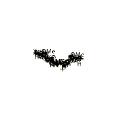 COC1C(OC(=O)c2ccc(C)[nH]2)C(O)[C@H](Oc2ccc3c(O)c(NC(=O)c4c[nH]c(C(=O)Nc5c(O)c6ccc(O[C@H]7OC(C)(C)[C@H](OC)C(OC(=O)c8ccc(C)[nH]8)C7O)c(C)c6oc5=O)c4C)c(=O)oc3c2C)OC1(C)C